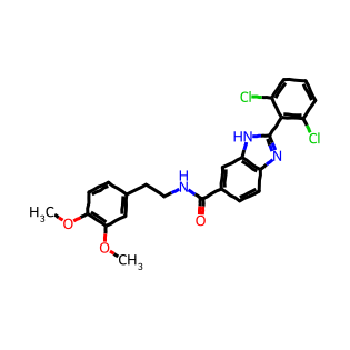 COc1ccc(CCNC(=O)c2ccc3nc(-c4c(Cl)cccc4Cl)[nH]c3c2)cc1OC